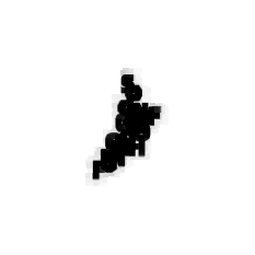 CSc1cccc(-c2cccc(-n3c(=O)n([C@H]4CC[C@@H](NC(=O)c5cn6cc(F)ccc6n5)CC4)c(=O)c4cc(F)cnc43)c2)c1